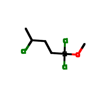 CO[Si](Cl)(Cl)CCC(C)Cl